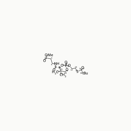 COC(=O)CCNC(=O)[C@@H]1OP(=O)(OCCSC(=O)C(C)(C)C)OCC1(C)C